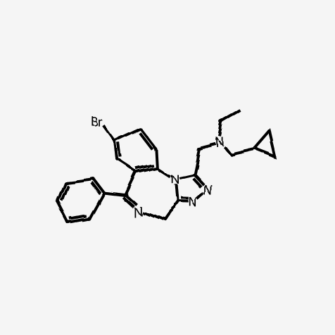 CCN(Cc1nnc2n1-c1ccc(Br)cc1C(c1ccccc1)=NC2)CC1CC1